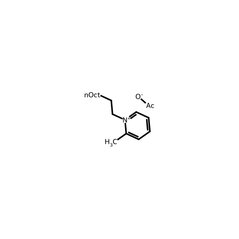 CC(=O)[O-].CCCCCCCCCC[n+]1ccccc1C